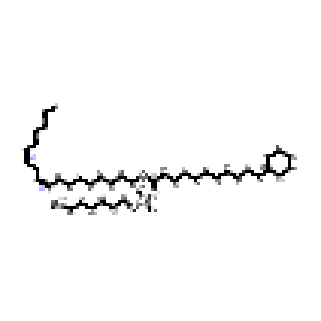 CCCCC/C=C\C/C=C\CCCCCCCCOC(CCCCCCCCCCC1CCCCC1)O[Si](C)(C)OCCCCCCBr